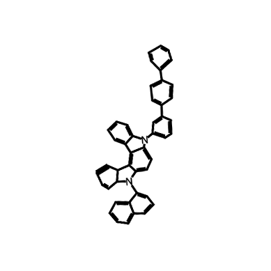 C1#CC2c3c(ccc4c3c3ccccc3n4-c3cccc(-c4ccc(-c5ccccc5)cc4)c3)N(c3cccc4ccccc34)C2C=C1